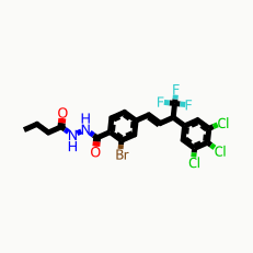 CCCC(=O)NNC(=O)c1ccc(/C=C/C(c2cc(Cl)c(Cl)c(Cl)c2)C(F)(F)F)cc1Br